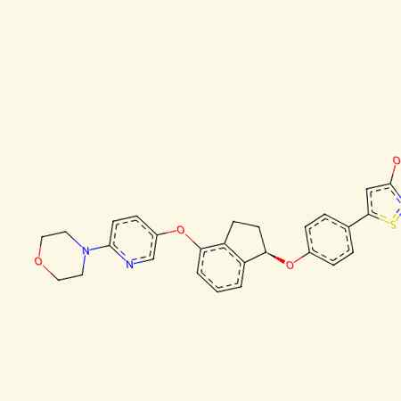 Oc1cc(-c2ccc(O[C@@H]3CCc4c(Oc5ccc(N6CCOCC6)nc5)cccc43)cc2)sn1